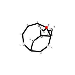 C1CSC2CSC3(SC1)SCCCSC3S2